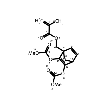 C=C(C)C(=O)OCC12C=CC(O1)C(OC(=O)OC)=C2OC(=O)OC